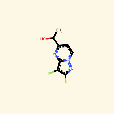 CC(O)c1ccn2nc(F)c(F)c2n1